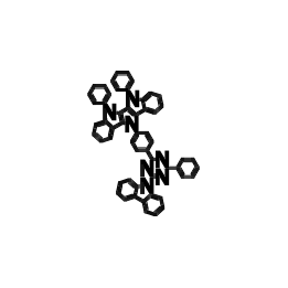 c1ccc(-c2nc(-c3ccc(-n4c5c6ccccc6n(-c6ccccc6)c5c5c4c4ccccc4n5-c4ccccc4)cc3)nc(-n3c4ccccc4c4ccccc43)n2)cc1